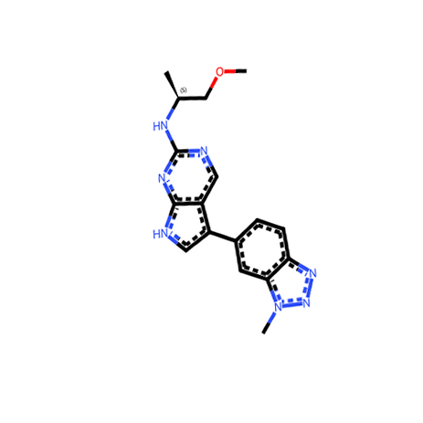 COC[C@H](C)Nc1ncc2c(-c3ccc4nnn(C)c4c3)c[nH]c2n1